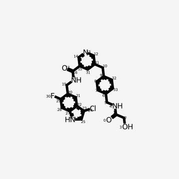 O=C(CO)NCc1ccc(Cc2cncc(C(=O)NCc3cc4c(Cl)c[nH]c4cc3F)c2)cc1